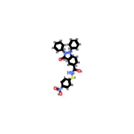 O=C(NSc1ccc([N+](=O)[O-])cc1)c1ccc2c(c1)c(=O)n(-c1ccccc1)n2-c1ccccc1